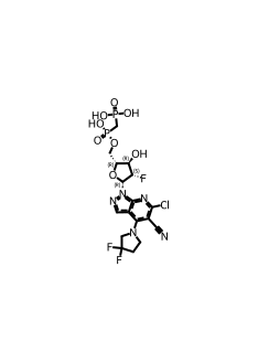 N#Cc1c(Cl)nc2c(cnn2[C@@H]2O[C@H](COP(=O)(O)CP(=O)(O)O)[C@@H](O)[C@@H]2F)c1N1CCC(F)(F)C1